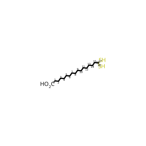 O=C(O)CCCCCCCCCCCCCCCC(S)S